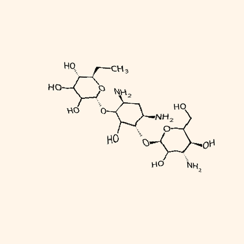 CC[C@H]1O[C@H](OC2C(O)[C@@H](O[C@H]3OC(CO)[C@@H](O)[C@H](N)C3O)[C@H](N)C[C@@H]2N)C(O)C(O)[C@@H]1O